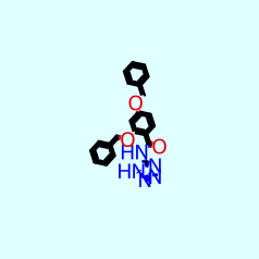 O=C(Nc1nnn[nH]1)c1ccc(OCc2ccccc2)cc1OCc1ccccc1